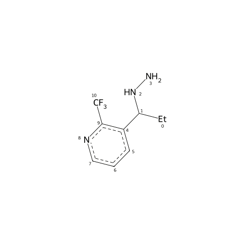 CCC(NN)c1cccnc1C(F)(F)F